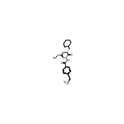 CC(C)(C)OC(=O)N[C@H](CC1CCCCC1)C(=O)NNC(=O)c1ccc(CN)cc1